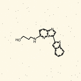 OCCCNc1ccc2ncc(-c3cc4ccccc4s3)n2n1